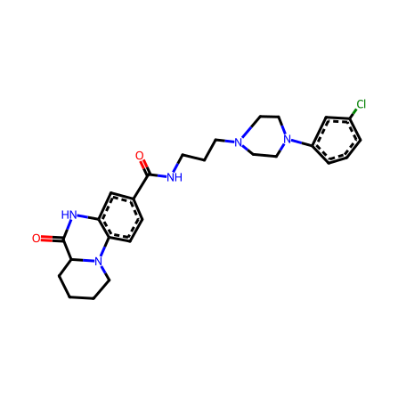 O=C(NCCCN1CCN(c2cccc(Cl)c2)CC1)c1ccc2c(c1)NC(=O)C1CCCCN21